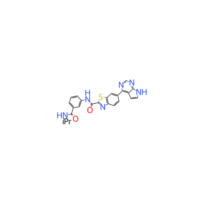 CC(C)NC(=O)c1cccc(NC(=O)c2nc3ccc(-c4ncnc5[nH]ccc45)cc3s2)c1